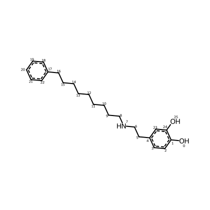 Oc1ccc(CCNCCCCCCCCCc2ccccc2)cc1O